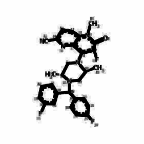 C[C@@H]1CN(c2c(F)c(=O)n(C)c3ccc(C#N)nc23)[C@@H](C)CN1C(c1ccc(F)cc1)c1cccc(F)c1